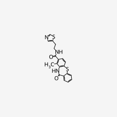 Cc1c(C(=O)NCCc2cncs2)ccc2c1NC(=O)c1ccccc1S2